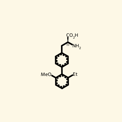 CCc1cccc(OC)c1-c1ccc(C[C@H](N)C(=O)O)cc1